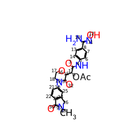 CC(=O)O[C@@H](C(=O)Nc1ccc(/C(N)=N/O)cc1)[C@H]1OCCN(c2ccc3c(c2)CN(C)C3=O)C1=O